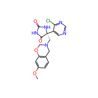 COc1ccc2c(c1)OCN(C[C@@]1(c3cncnc3Cl)NC(=O)NC1=O)C2